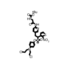 CC(C)(C)OC(=O)NCC(=O)Nc1ccc(CC(c2ccsc2[N+](=O)[O-])S(=O)(=O)Oc2ccc(N(CCCl)CCCl)cc2)cn1